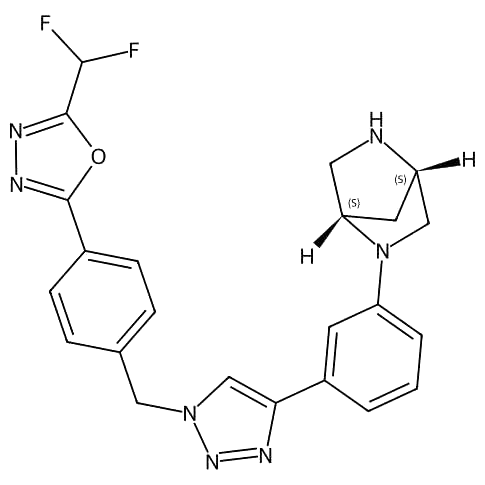 FC(F)c1nnc(-c2ccc(Cn3cc(-c4cccc(N5C[C@@H]6C[C@H]5CN6)c4)nn3)cc2)o1